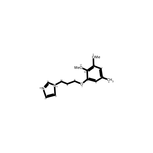 COc1cc(C)cc(OCCCn2ccnc2)c1OC